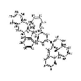 c1ccc2c(c1)Sc1c(-c3ccc4c(c3)-c3ccccc3C43c4ccccc4-c4cc5ccccc5cc43)ccc3cccc-2c13